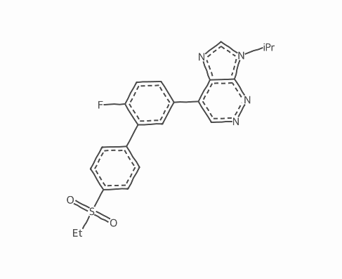 CCS(=O)(=O)c1ccc(-c2cc(-c3cnnc4c3ncn4C(C)C)ccc2F)cc1